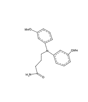 COc1cccc(N(CCCC(N)=O)c2cccc(OC)c2)c1